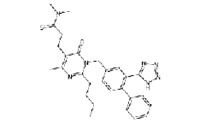 CCCCc1nc(C)c(CCC(=S)N(C)C)c(=O)n1Cc1ccc(-c2ccccc2)c(-c2nnn[nH]2)c1